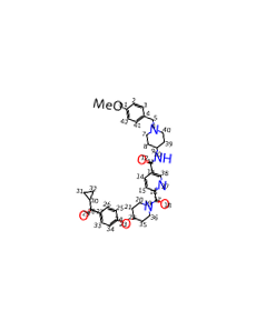 COc1ccc(CN2CCC(NC(=O)c3ccc(C(=O)N4CCC(Oc5ccc(C(=O)C6CC6)cc5)CC4)nc3)CC2)cc1